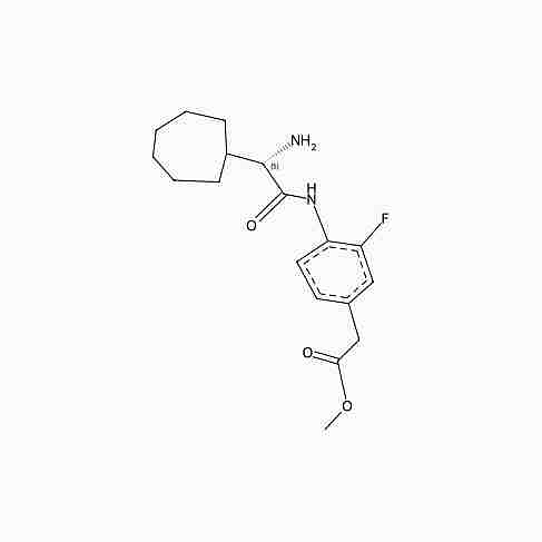 COC(=O)Cc1ccc(NC(=O)[C@@H](N)C2CCCCCC2)c(F)c1